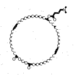 CN(C)CCCC(=O)OC1CCCCCCCC/C=C\CCCCCCCC(=O)OCOC(=O)CCCCCCC/C=C\CCCCCCCC1